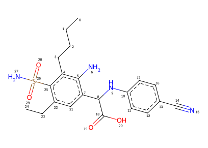 CCCCc1c(N)c(C(Nc2ccc(C#N)cc2)C(=O)O)cc(CC)c1S(N)(=O)=O